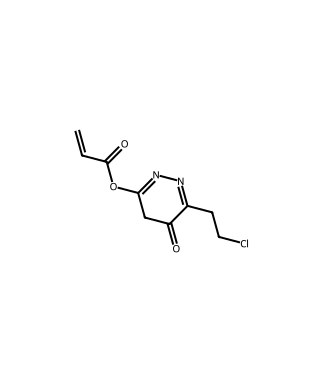 C=CC(=O)OC1=NN=C(CCCl)C(=O)C1